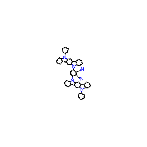 N#Cc1c(-n2c3ccccc3c3cc4c(cc32)c2ccccc2n4-c2ccccc2)ccc(-n2c3ccccc3c3cc4c(cc32)c2ccccc2n4-c2ccccc2)c1C#N